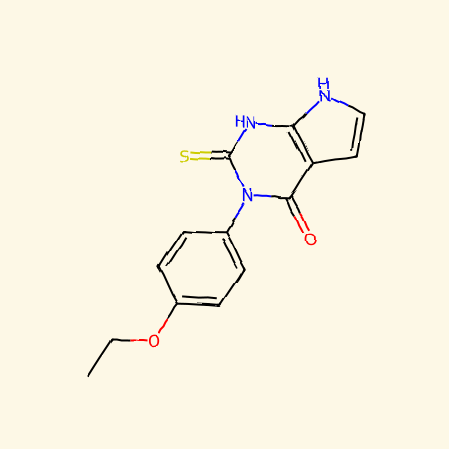 CCOc1ccc(-n2c(=S)[nH]c3[nH]ccc3c2=O)cc1